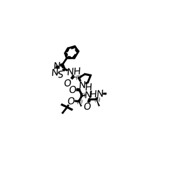 CN[C@@H](C)C(=O)N[C@H](C(=O)N1CCC[C@H]1C(=O)Nc1snnc1-c1ccccc1)[C@@H](C)OC(C)(C)C